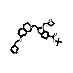 CC(C)(C)OC(=O)c1ccc2nc(CN3CCc4ccc(OCc5cccnc5)cc4C3)n(C[C@@H]3CCO3)c2c1